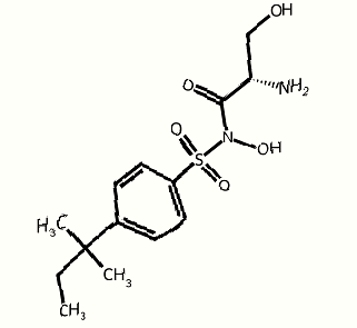 CCC(C)(C)c1ccc(S(=O)(=O)N(O)C(=O)[C@@H](N)CO)cc1